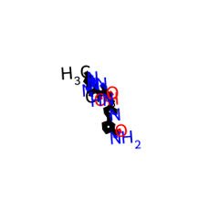 Cc1cc2nc(C)c3c(O)c(C(=O)NCc4ccc(-c5cccc(C(N)=O)c5)nc4)cnc3n2n1